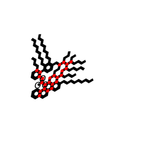 CCCCCCCCCc1ccc(-c2ccccc2OP(Oc2ccccc2-c2ccc(CCCCCCCCC)c(CCCCCCCCC)c2CCCCCCCCC)Oc2ccccc2-c2ccc(CCCCCCCCC)c(CCCCCCCCC)c2CCCCCCCCC)c(CCCCCCCCC)c1CCCCCCCCC